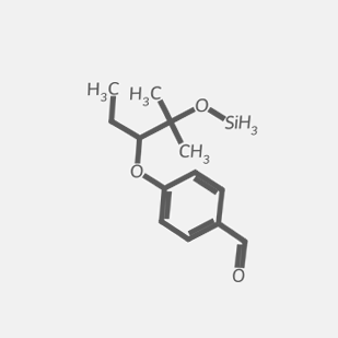 CCC(Oc1ccc(C=O)cc1)C(C)(C)O[SiH3]